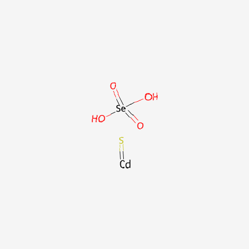 O=[Se](=O)(O)O.[S]=[Cd]